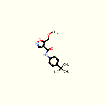 COCc1oncc1C(=O)Nc1ccc(C(C)(C)C)cc1